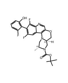 C[C@@H]1CN2c3c(cnc4c(F)c(-c5c(O)cccc5F)c(F)cc34)OC[C@H]2CN1C(=O)OC(C)(C)C